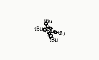 CC(C)(C)c1ccc(N2c3cc(C(C)(C)C)ccc3B3c4sc5cc(C(C)(C)C)ccc5c4N(c4ccc(C(C)(C)C)cc4)c4cccc2c43)cc1